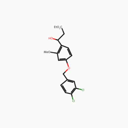 CCOC(=O)CC(O)c1ccc(OCc2ccc(Cl)c(Cl)c2)cc1OC